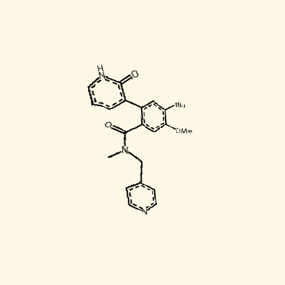 COc1cc(C(=O)N(C)Cc2ccncc2)c(-c2ccc[nH]c2=O)cc1C(C)(C)C